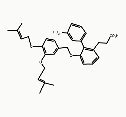 CC(C)=CCOc1ccc(COc2cccc(CCC(=O)O)c2-c2cccc(C(=O)O)c2)cc1OCC=C(C)C